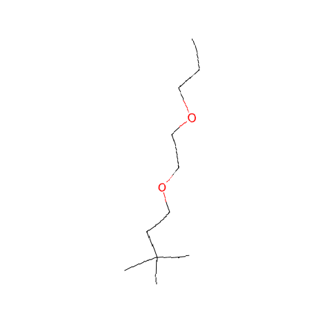 CCCOCCOCCC(C)(C)C